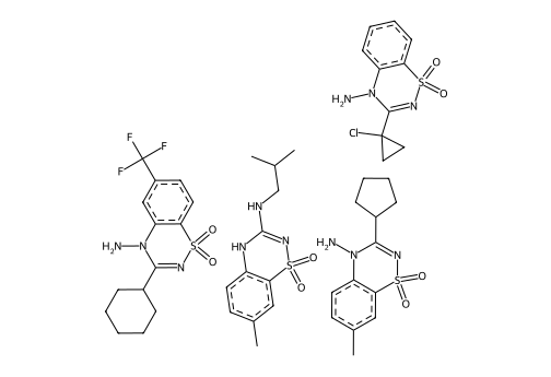 Cc1ccc2c(c1)S(=O)(=O)N=C(C1CCCC1)N2N.Cc1ccc2c(c1)S(=O)(=O)N=C(NCC(C)C)N2.NN1C(C2(Cl)CC2)=NS(=O)(=O)c2ccccc21.NN1C(C2CCCCC2)=NS(=O)(=O)c2ccc(C(F)(F)F)cc21